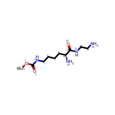 CC(C)(C)OC(=O)NCCCC[C@H](N)C(=O)NCCN